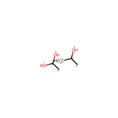 CC(O)C(=O)O.CC(O)O